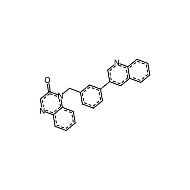 O=c1cnc2ccccc2n1Cc1cccc(-c2cnc3ccccc3c2)c1